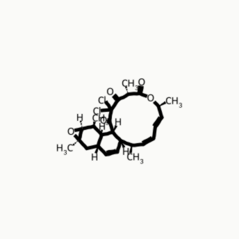 C[C@@H]1C(=O)O[C@@H](C)/C=C/C=C\[C@@H](C)[C@@H]2C=C[C@@H]3C[C@@]4(C)O[C@H]4[C@@H](C)[C@H]3[C@@H]2C(=O)C(Cl)(Cl)C1=O